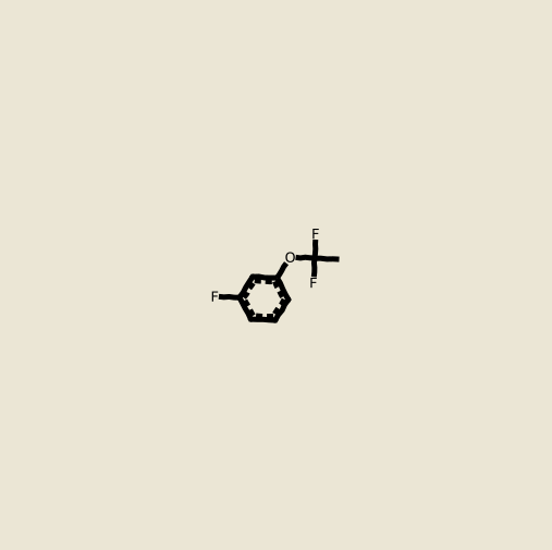 CC(F)(F)Oc1cccc(F)c1